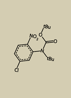 CC(C)(C)OC(=O)N(c1cc(Cl)ccc1[N+](=O)[O-])C(C)(C)C